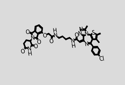 Cc1sc2c(c1C)C(c1ccc(Cl)cc1)=N/C(=C/C(=O)NCCCCNC(=O)COc1cccc3c1C(=O)N(C1CCC(=O)NC1=O)C3=O)c1nnc(C)n1-2